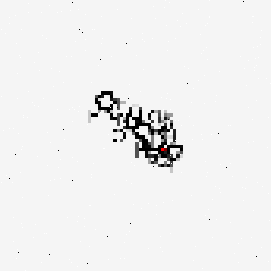 C[C@H]1[C@@H]2CC[C@H]1N1C(=O)c3c(O)c(=O)c(C(=O)NCc4c(F)cccc4F)cn3C[C@@H]1O2